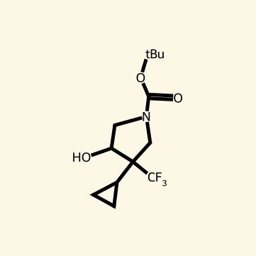 CC(C)(C)OC(=O)N1CC(O)C(C2CC2)(C(F)(F)F)C1